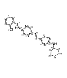 Clc1ccccc1SNc1cnc(/C=C/c2cnc(NC3CCCCC3)nc2)cn1